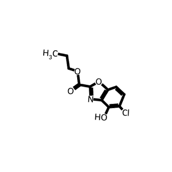 CCCOC(=O)c1nc2c(O)c(Cl)ccc2o1